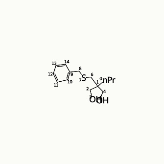 CCCC(CO)(CO)CSCc1ccccc1